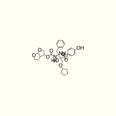 N[C@@](Cc1ccccc1)(NC(=O)OC1COC2OCCC12)[C@](O)(COC1CCCC1)S(=O)(=O)c1ccc(O)cc1